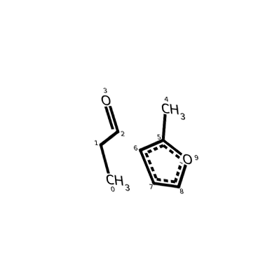 CCC=O.Cc1ccco1